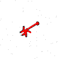 CCCCCSc1cc2c(cc1OCCCCCCCCCCCCCCCCCC[Si](OC)(OC)OC)c1cc(SCCCCC)c(SCCCCC)cc1c1cc(SCCCCC)c(SCCCCC)cc21